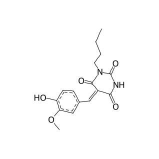 CCCCN1C(=O)NC(=O)C(=Cc2ccc(O)c(OC)c2)C1=O